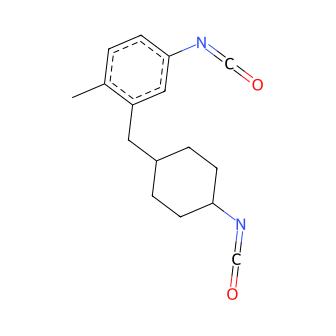 Cc1ccc(N=C=O)cc1CC1CCC(N=C=O)CC1